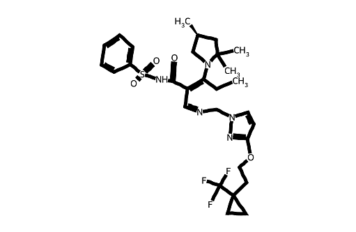 CC/C(=C(\C=N/Cn1ccc(OCCC2(C(F)(F)F)CC2)n1)C(=O)NS(=O)(=O)c1ccccc1)N1C[C@@H](C)CC1(C)C